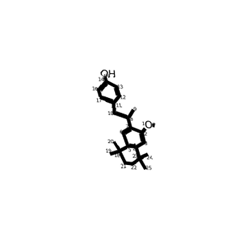 COc1cc2c(cc1C(C)=Cc1ccc(O)cc1)C(C)(C)CCC2(C)C